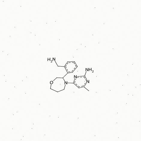 Cc1cc(N2CCCOCC2c2ccccc2CN)nc(N)n1